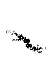 COc1nc(O[C@H]2CCc3c(-c4cccc5c4CC[C@@H]5Oc4ccc(CNCCCC(=O)O)c(OC)n4)cccc32)ccc1CNCCO